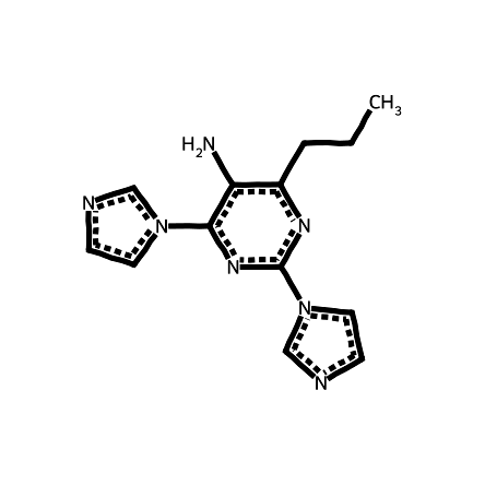 CCCc1nc(-n2ccnc2)nc(-n2ccnc2)c1N